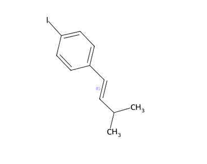 CC(C)/C=C/c1ccc(I)cc1